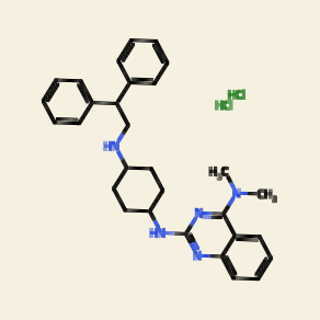 CN(C)c1nc(NC2CCC(NCC(c3ccccc3)c3ccccc3)CC2)nc2ccccc12.Cl.Cl